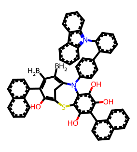 BC1=C(c2cccc3ccccc23)C(O)=C2CC(=C1B)N(c1ccc(-c3ccccc3-n3c4ccccc4c4ccccc43)cc1)c1c(O)c(O)c(-c3cccc4ccccc34)c(O)c1S2